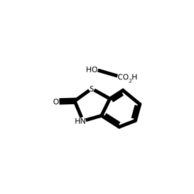 O=C(O)O.O=c1[nH]c2ccccc2s1